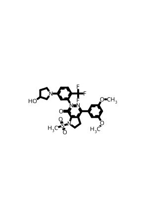 COc1cc(OC)cc(-c2nn(-c3cc(N4CCC(O)C4)ccc3C(F)(F)F)c(=O)c3c2CCN3S(C)(=O)=O)c1